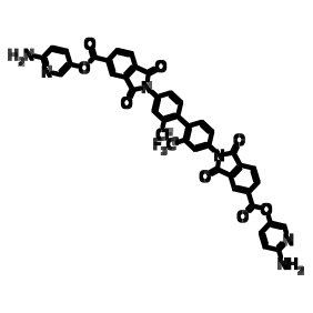 Nc1ccc(OC(=O)c2ccc3c(c2)C(=O)N(c2ccc(-c4ccc(N5C(=O)c6ccc(C(=O)Oc7ccc(N)nc7)cc6C5=O)cc4C(F)(F)F)c(C(F)(F)F)c2)C3=O)cn1